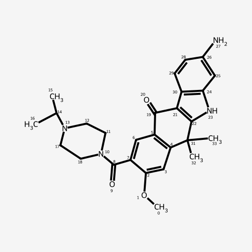 COc1cc2c(cc1C(=O)N1CCN(C(C)C)CC1)C(=O)c1c([nH]c3cc(N)ccc13)C2(C)C